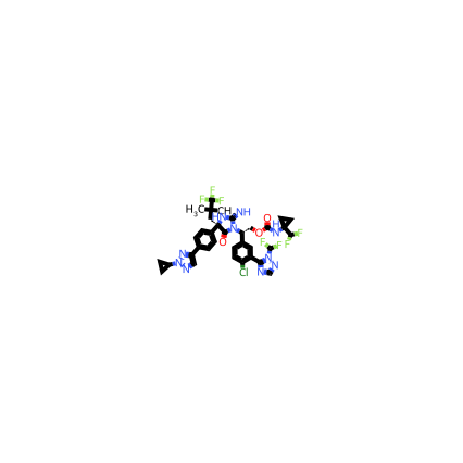 CC(C)(C[C@]1(c2ccc(-c3cnn(C4CC4)n3)cc2)NC(=N)N([C@H](COC(=O)NC2(C(F)F)CC2)c2ccc(Cl)c(-c3ncnn3C(F)F)c2)C1=O)C(F)(F)F